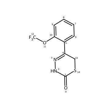 O=C1NN=C(c2ccccc2OC(F)(F)F)CS1